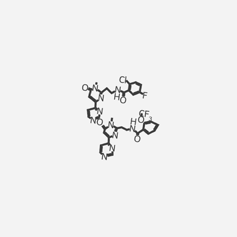 Cn1c(CCNC(=O)c2cc(F)ccc2Cl)nc(-c2ccncn2)cc1=O.Cn1c(CCNC(=O)c2ccccc2OC(F)(F)F)nc(-c2ccncn2)cc1=O